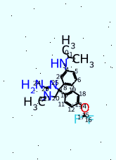 CC(C)Nc1cccc(C2(c3ccc(OC(F)F)cc3)CN(C)C(N)=N2)c1